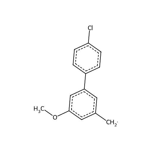 [CH2]c1cc(OC)cc(-c2ccc(Cl)cc2)c1